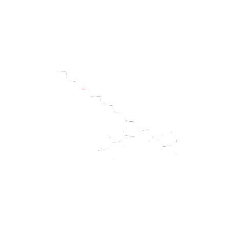 C[C@H](CO)[C@@H](O)[C@H](O)[C@@H](O)CN(CCOCCOCCOCCOCCl)C[C@H](O)[C@@H](O)[C@H](O)[C@H](O)CO